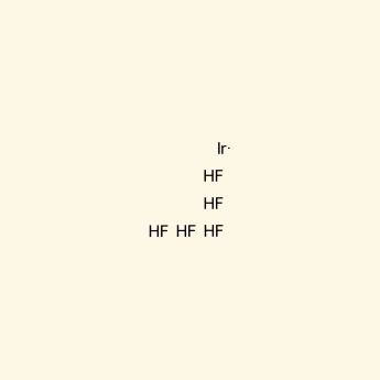 F.F.F.F.F.[Ir]